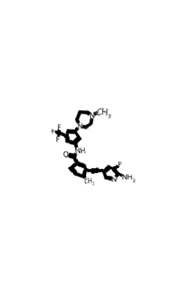 Cc1ccc(C(=O)Nc2cc(N3CCCN(C)CC3)cc(C(F)(F)F)c2)cc1C#Cc1cnc(N)c(F)c1